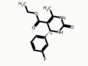 CCOC(=O)C1=C(C)NC(=O)N[C@@H]1c1cccc(F)c1